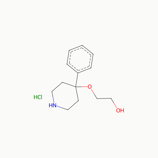 Cl.OCCOC1(c2ccccc2)CCNCC1